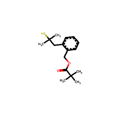 CC(C)(S)Cc1ccccc1COC(=O)C(C)(C)C